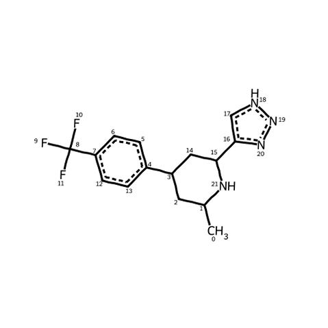 CC1CC(c2ccc(C(F)(F)F)cc2)CC(c2c[nH]nn2)N1